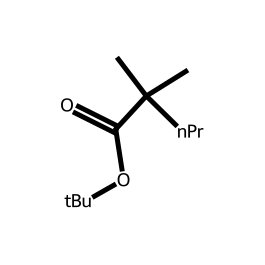 CCCC(C)(C)C(=O)OC(C)(C)C